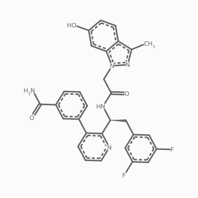 Cc1nn(CC(=O)N[C@@H](Cc2cc(F)cc(F)c2)c2ncccc2-c2cccc(C(N)=O)c2)c2cc(O)ccc12